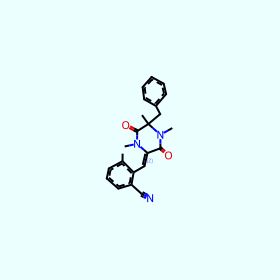 Cc1cccc(C#N)c1/C=C1/C(=O)N(C)C(C)(Cc2ccccc2)C(=O)N1C